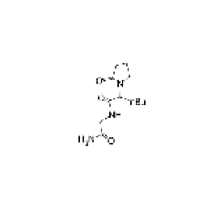 CCCCC(C(=O)NCC(N)=O)N1CCCC1=O